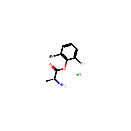 CC(C)c1cccc(C(C)C)c1OC(=O)[C@H](C)N.Cl